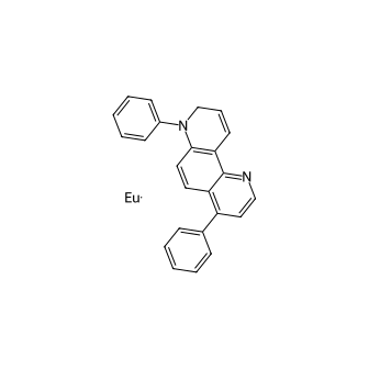 C1=Cc2c(ccc3c(-c4ccccc4)ccnc23)N(c2ccccc2)C1.[Eu]